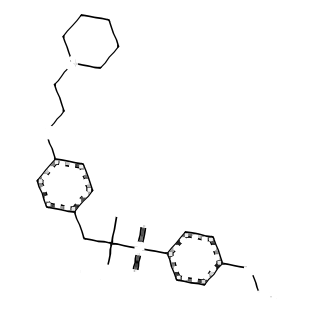 CCCCOc1ccc(S(=O)(=O)C(C)(Cc2ccc(OCCN3CCCCC3)cc2)C(=O)O)cc1